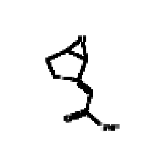 COC(=O)C=C1CCC2OC12